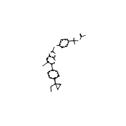 CC(=O)NC(C)(C)c1ccc(Oc2nc3nc(-c4ccc(C5(CO)CC5)cc4)c(Cl)cc3[nH]2)cc1